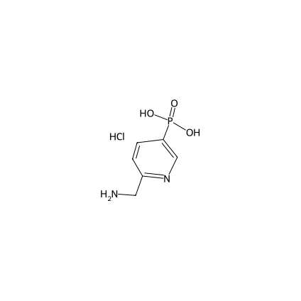 Cl.NCc1ccc(P(=O)(O)O)cn1